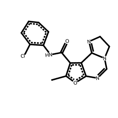 Cc1oc2c(c1C(=O)Nc1ccccc1Cl)C1=NCCN1C=N2